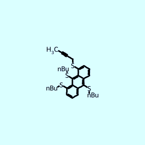 CC#CCSc1cccc2c(SCCCC)c3cccc(SCCCC)c3c(SCCCC)c12